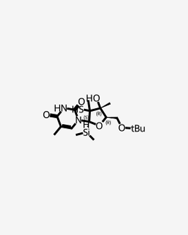 Cc1cn([C@]2([SiH](C)C)O[C@H](COC(C)(C)C)[C@@](C)(O)C2(C)S)c(=O)[nH]c1=O